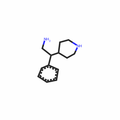 NCC(c1ccccc1)C1CCNCC1